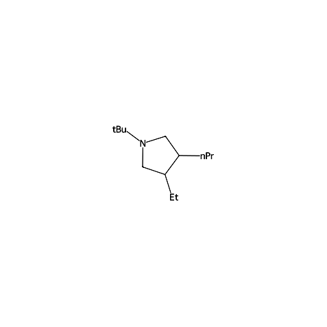 CCCC1CN(C(C)(C)C)CC1CC